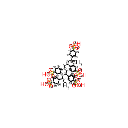 CC(CC(CC(CC(CC(C)c1ccc(S(=O)(=O)O)cc1)c1ccc(S(=O)(=O)O)cc1)c1ccc(S(=O)(=O)O)cc1)c1ccc(S(=O)(=O)O)cc1)c1ccc(S(=O)(=O)O)cc1